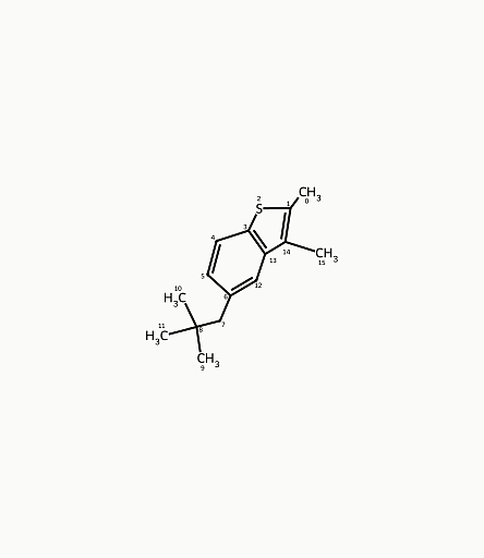 Cc1sc2ccc(CC(C)(C)C)cc2c1C